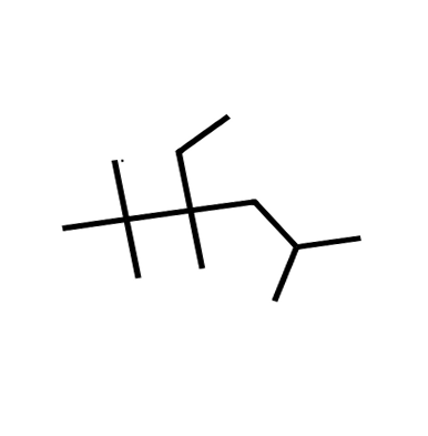 [CH2]C(C)(C)C(C)(CC)CC(C)C